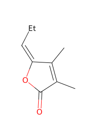 CCC=C1OC(=O)C(C)=C1C